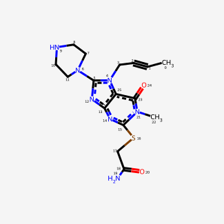 CC#CCn1c(N2CCNCC2)nc2nc(SCC(N)=O)n(C)c(=O)c21